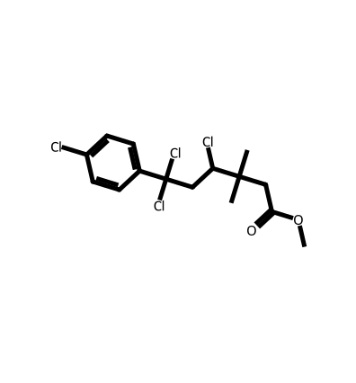 COC(=O)CC(C)(C)C(Cl)CC(Cl)(Cl)c1ccc(Cl)cc1